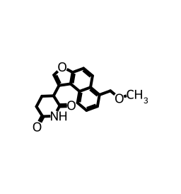 COCc1cccc2c1ccc1occ(C3CCC(=O)NC3=O)c12